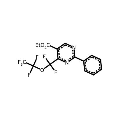 CCOC(=O)c1cnc(-c2ccccc2)nc1C(F)(F)OC(F)(F)C(F)(F)F